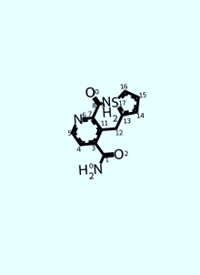 NC(=O)c1ccnc(C(N)=O)c1Cc1cccs1